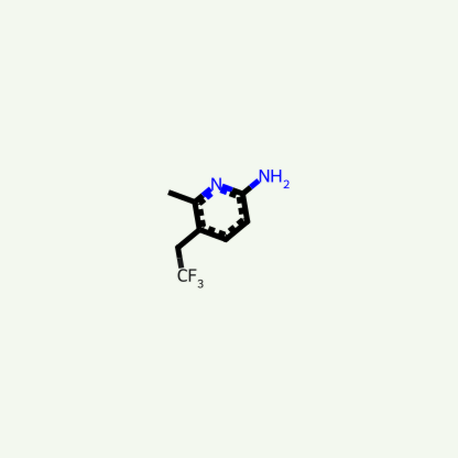 Cc1nc(N)ccc1CC(F)(F)F